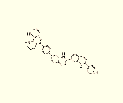 C1=Cc2cc(-c3ccc(C4=CC5NC(c6ccc7c(c6)NC(C6=CCNC=C6)C=C7)=CC=C5C=C4)cc3)c3c(c2NC1)NCC=C3